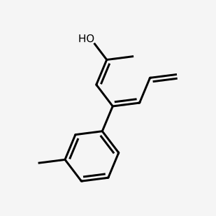 C=C/C=C(\C=C(/C)O)c1cccc(C)c1